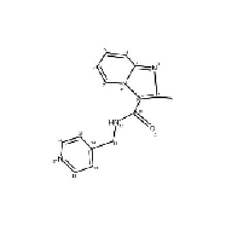 Cc1nc2ccccn2c1C(=O)NCc1ccncc1